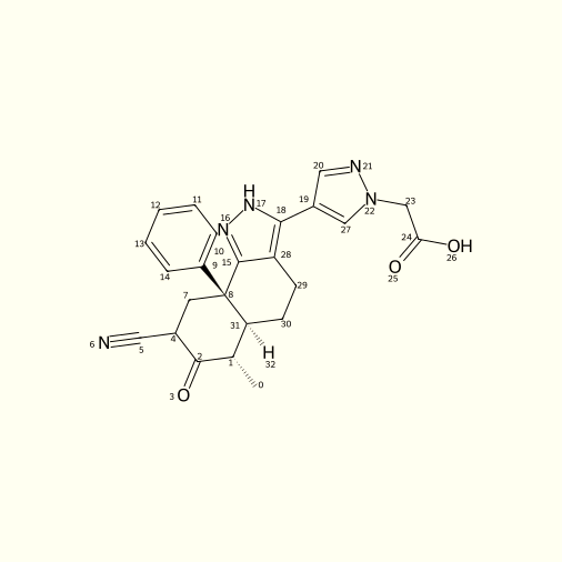 C[C@@H]1C(=O)C(C#N)C[C@]2(c3ccccc3)c3n[nH]c(-c4cnn(CC(=O)O)c4)c3CC[C@@H]12